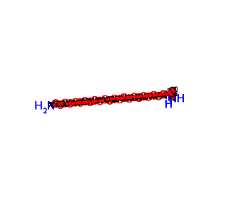 N=N/C1=C(\NCCOCCOCCOCCOCCOCCOCCOCCOCCOCCOCCOCCOCCOCCOCCOCCOCCOCCOCCOCCOCCOCCOCCOCCN)CCC2CC2CC1